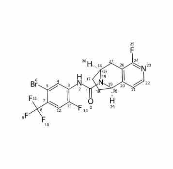 O=C(Nc1cc(Br)c(C(F)(F)F)cc1F)N1[C@H]2CC[C@@H]1c1ccnc(F)c1C2